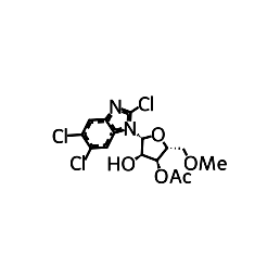 COC[C@H]1O[C@@H](n2c(Cl)nc3cc(Cl)c(Cl)cc32)[C@H](O)[C@@H]1OC(C)=O